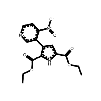 CCOC(=O)c1cc(-c2cnccc2[N+](=O)[O-])c(C(=O)OCC)[nH]1